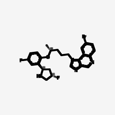 C[C@H](CCCn1cnc2cnc3ccc(Br)cc3c21)Oc1ccc(F)cc1[C@H]1C[C@H](F)CN1